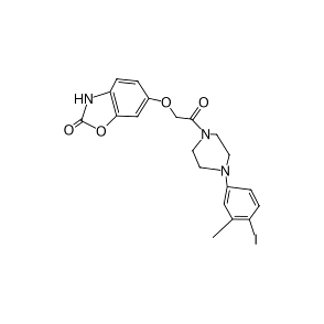 Cc1cc(N2CCN(C(=O)COc3ccc4[nH]c(=O)oc4c3)CC2)ccc1I